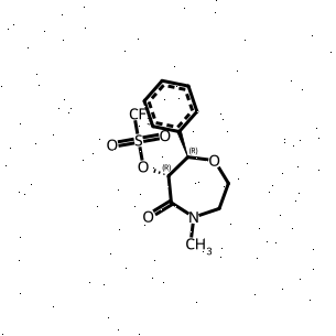 CN1CCO[C@H](c2ccccc2)[C@@H](OS(=O)(=O)C(F)(F)F)C1=O